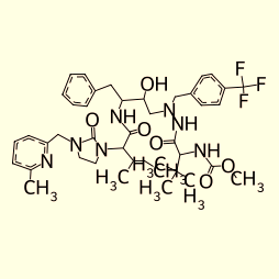 CCC(C)C(C(=O)NC(Cc1ccccc1)C(O)CN(Cc1ccc(C(F)(F)F)cc1)NC(=O)C(NC(=O)OC)C(C)(C)C)N1CCN(Cc2cccc(C)n2)C1=O